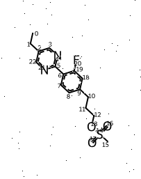 CCc1cnc(-c2ccc(CCCOS(C)(=O)=O)cc2F)nc1